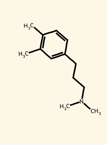 Cc1ccc(CCCN(C)C)cc1C